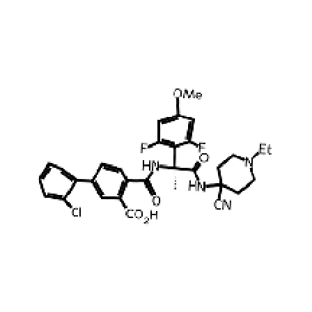 CCN1CCC(C#N)(NC(=O)[C@@](C)(NC(=O)c2ccc(-c3ccccc3Cl)cc2C(=O)O)c2c(F)cc(OC)cc2F)CC1